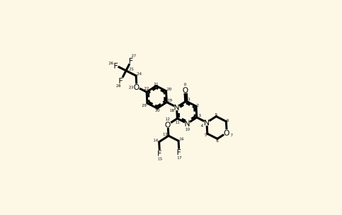 O=c1cc(N2CCOCC2)nc(OC(CF)CF)n1-c1ccc(OCC(F)(F)F)cc1